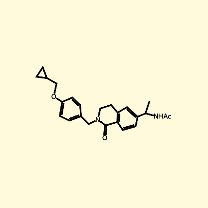 CC(=O)NC(C)c1ccc2c(c1)CCN(Cc1ccc(OCC3CC3)cc1)C2=O